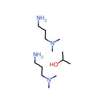 CC(C)O.CN(C)CCCN.CN(C)CCCN